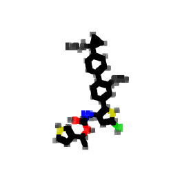 CCOC(=O)C1(c2ccc(-c3ccc(-c4sc(Cl)cc4NC(=O)OC(C)c4ccsc4)cc3OC)cc2)CC1